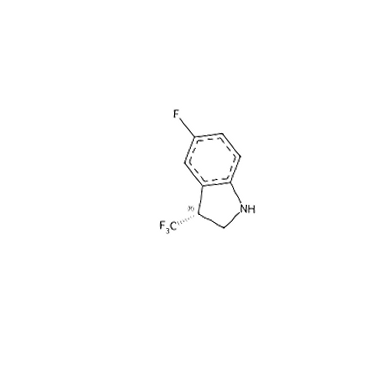 Fc1ccc2c(c1)[C@@H](C(F)(F)F)CN2